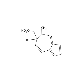 C=C1C=C2C=CC=C2C=CC1(O)CC(=O)O